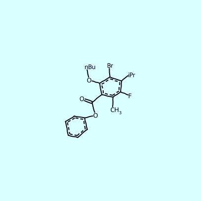 CCCCOc1c(Br)c(C(C)C)c(F)c(C)c1C(=O)Oc1ccccc1